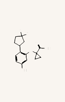 Cc1ccc(C2CCC(F)(F)C2)c(OC2(C(=O)O)CC2)c1